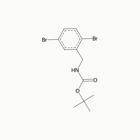 CC(C)(C)OC(=O)NCc1cc(Br)ccc1Br